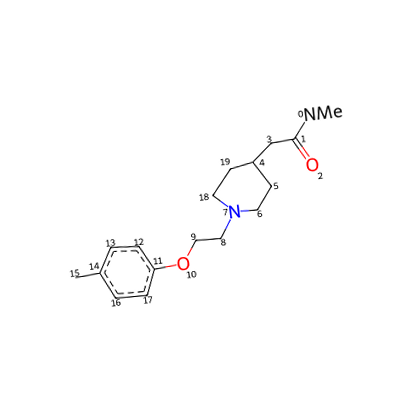 CNC(=O)CC1CCN(CCOc2ccc(C)cc2)CC1